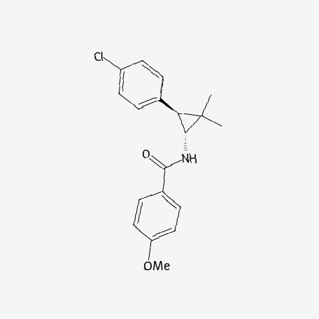 COc1ccc(C(=O)N[C@@H]2[C@@H](c3ccc(Cl)cc3)C2(C)C)cc1